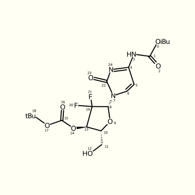 CC(C)COC(=O)Nc1ccn([C@@H]2O[C@H](CO)[C@@H](OC(=O)OC(C)(C)C)C2(F)F)c(=O)n1